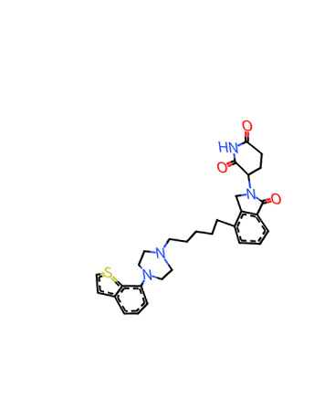 O=C1CCC(N2Cc3c(CCCCCN4CCN(c5cccc6ccsc56)CC4)cccc3C2=O)C(=O)N1